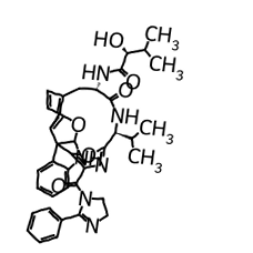 CC(C)[C@H](O)C(=O)N[C@H]1Cc2ccc3c(c2)C2(c4ccccc4NC2O3)c2oc(nc2C(=O)N2CCN=C2c2ccccc2)[C@H](C(C)C)NC1=O